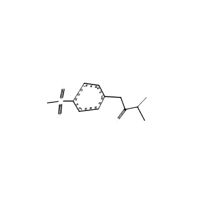 CC(C)C(=O)Cc1ccc(S(C)(=O)=O)cc1